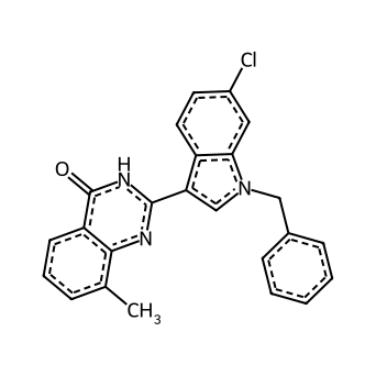 Cc1cccc2c(=O)[nH]c(-c3cn(Cc4ccccc4)c4cc(Cl)ccc34)nc12